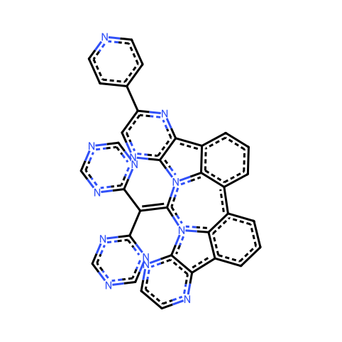 c1cc2c3cccc4c5nc(-c6ccncc6)cnc5n(c(=C(c5ncncn5)c5ncncn5)n5c6nccnc6c(c1)c25)c34